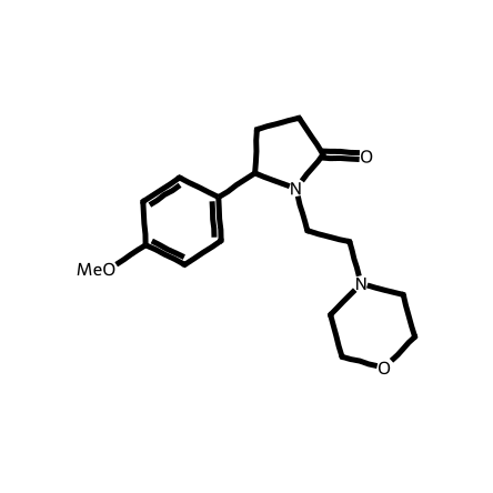 COc1ccc(C2CCC(=O)N2CCN2CCOCC2)cc1